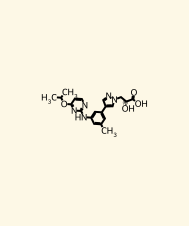 Cc1cc(Nc2nccc(OC(C)C)n2)cc(-c2cnn(C[C@@H](O)C(=O)O)c2)c1